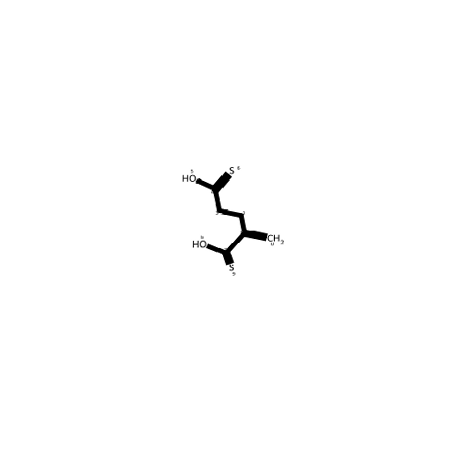 C=C(CCC(O)=S)C(O)=S